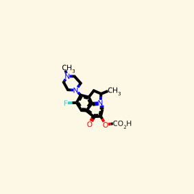 CC1Cc2c(N3CCN(C)CC3)c(F)cc3c(=O)c(OC(=O)O)cn1c23